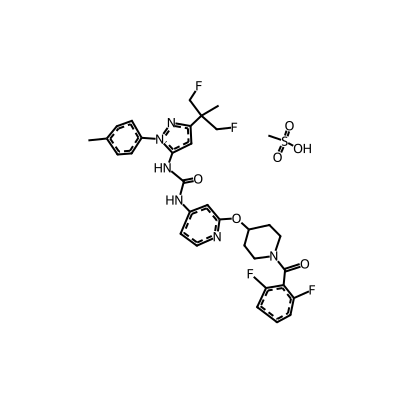 CS(=O)(=O)O.Cc1ccc(-n2nc(C(C)(CF)CF)cc2NC(=O)Nc2ccnc(OC3CCN(C(=O)c4c(F)cccc4F)CC3)c2)cc1